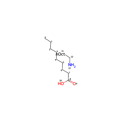 CCCCCCCCC(=O)O.CCCCCCCCCN